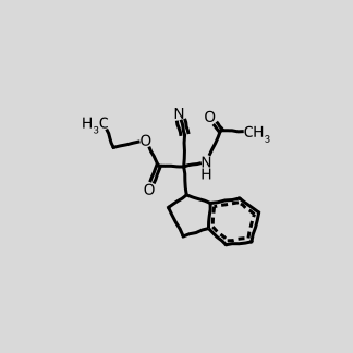 CCOC(=O)C(C#N)(NC(C)=O)C1CCc2ccccc21